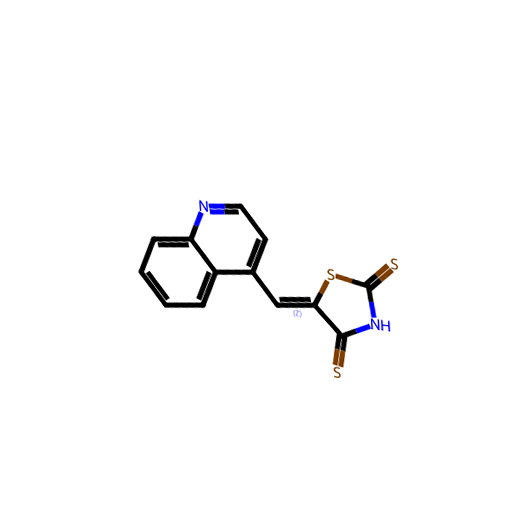 S=C1NC(=S)/C(=C/c2ccnc3ccccc23)S1